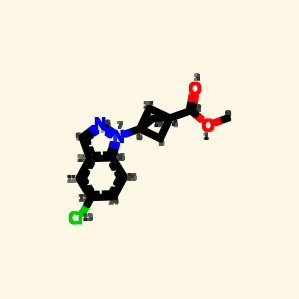 COC(=O)C12CC(n3ncc4cc(Cl)ccc43)(C1)C2